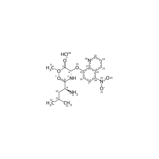 COC(=O)[C@@H](NC(=O)[C@@H](N)CC(C)C)Oc1ccc([N+](=O)[O-])c2cccnc12.Cl